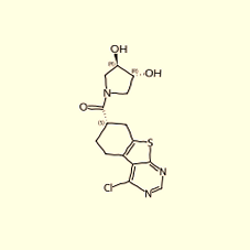 O=C([C@H]1CCc2c(sc3ncnc(Cl)c23)C1)N1C[C@@H](O)[C@H](O)C1